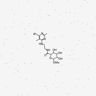 COC1OC(C(=O)NCCNc2nc(C)nc(C(C)C)c2C)C(O)C(O)C1O